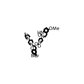 COc1ccc2c(c1)CCN(C1CCN(C(=O)OC(Cc3ccc(Br)c(Br)c3)C(=O)N3CCC(N4CCN(C)CC4)CC3)CC1)C(=O)N2